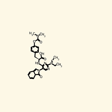 CCN(CC)c1ncc(N2C=C3C=CC=CC3C2=O)c(N[C@@H](Cc2ccc(OC(=O)N(C)C)cc2)C(=O)O)n1